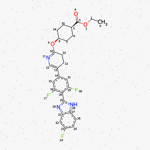 CCOC(=O)[C@H]1CC[C@@H](OC2=NC=C(c3cc(F)c(-c4nc5cc(F)ccc5[nH]4)c(F)c3)CC2)CC1